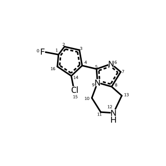 Fc1ccc(-c2ncc3n2CCNC3)c(Cl)c1